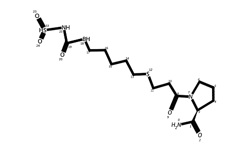 NC(=O)[C@@H]1CCCN1C(=O)CCSCCCCCBC(=O)N[SH](=O)=O